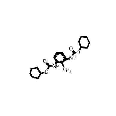 Cc1c(NC(=O)OC2CCCCC2)cccc1NC(=O)OC1CCCCC1